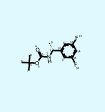 C[C@@H](NC(=O)OC(C)(C)C)c1cc(F)cc(F)c1